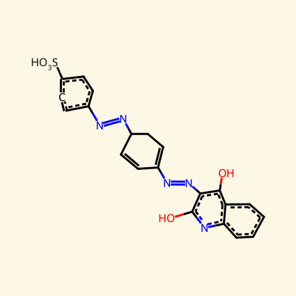 O=S(=O)(O)c1ccc(/N=N/C2C=CC(/N=N/c3c(O)nc4ccccc4c3O)=CC2)cc1